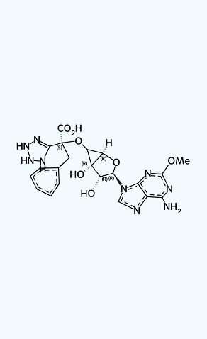 COc1nc(N)c2ncn([C@@H]3O[C@@H]4C(O[C@](Cc5ccccc5)(C(=O)O)C5=NNNN5)[C@]4(O)[C@H]3O)c2n1